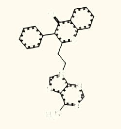 Nc1ncnc2c1ncn2CCc1oc2ccccc2c(=O)c1-c1ccccc1